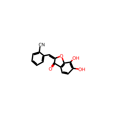 N#Cc1ccccc1/C=C1/Oc2c(ccc(O)c2O)C1=O